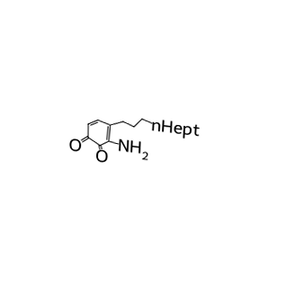 CCCCCCCCCCC1=C(N)C(=O)C(=O)C=C1